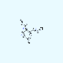 C=C/C=C(\C=C/C(=C)C)C(=O)/C=C/Cl